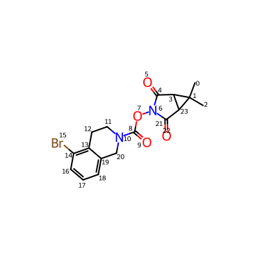 CC1(C)C2C(=O)N(OC(=O)N3CCc4c(Br)cccc4C3)C(=O)C21